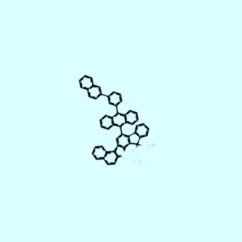 CC1(C)c2ccccc2-c2c(-c3c4ccccc4c(-c4cccc(-c5ccc6ccccc6c5)c4)c4ccccc34)cc3c(oc4ccc5ccccc5c43)c21